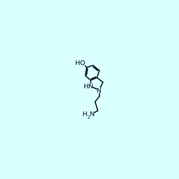 NCCCN1Cc2ccc(O)cc2N1